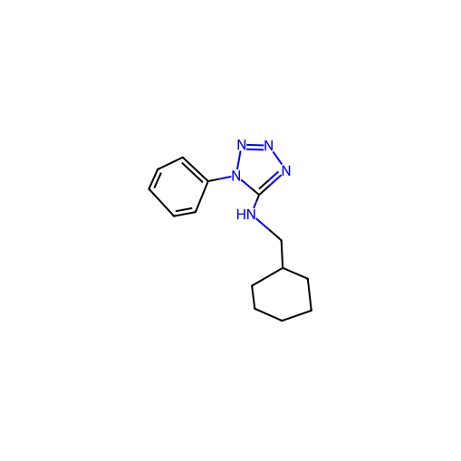 c1ccc(-n2nnnc2NCC2CCCCC2)cc1